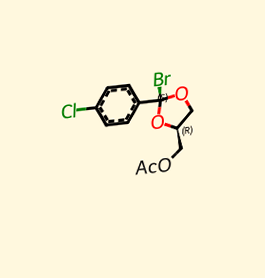 CC(=O)OC[C@@H]1CO[C@@](Br)(c2ccc(Cl)cc2)O1